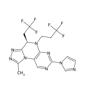 Cc1nnc2n1-c1cnc(-n3ccnc3)nc1N(CCC(F)(F)F)[C@@H]2CC(F)(F)F